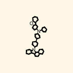 c1ccc(N(c2ccc(-c3ccc(-n4c5ccccc5c5ccc6ccccc6c54)cc3)cc2)c2ccc3oc4ccccc4c3c2)cc1